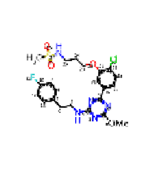 COc1nc(NCCc2ccc(F)cc2)nc(-c2ccc(Cl)c(OCCCNS(C)(=O)=O)c2)n1